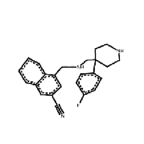 N#Cc1cc(CNCC2(c3ccc(F)cc3)CCNCC2)c2ccccc2c1